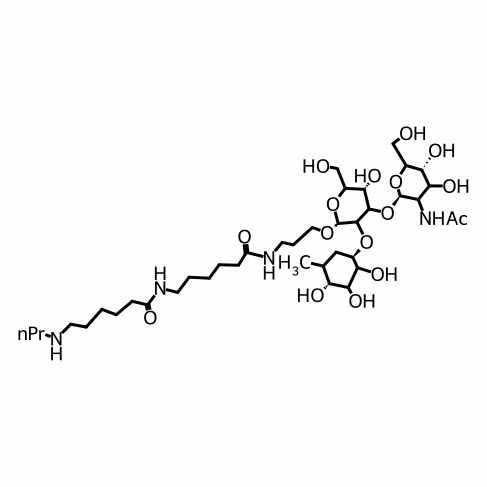 CCCNCCCCCC(=O)NCCCCCC(=O)NCCCO[C@@H]1OC(CO)[C@H](O)C(O[C@H]2OC(CO)[C@H](O)C(O)C2NC(C)=O)C1O[C@@H]1CC(C)[C@@H](O)C(O)C1O